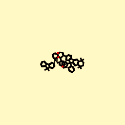 CC1(C)CCC(C)(C)c2cc3c(cc21)-c1ccc(-c2ccccc2-c2ccccc2N(c2ccccc2)c2ccc4c(c2)-c2ccccc2C4(C)C)cc1C3(c1ccccc1)c1ccccc1